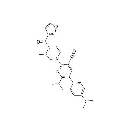 CC(C)c1ccc(-c2cc(C#N)c(N3CCN(C(=O)c4ccoc4)C(C)C3)nc2C(C)C)cc1